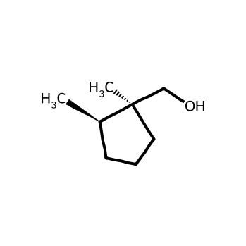 C[C@@H]1CCC[C@]1(C)CO